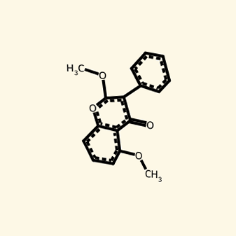 COc1oc2cccc(OC)c2c(=O)c1-c1ccccc1